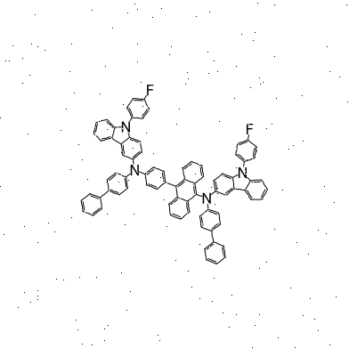 Fc1ccc(-n2c3ccccc3c3cc(N(c4ccc(-c5ccccc5)cc4)c4ccc(-c5c6ccccc6c(N(c6ccc(-c7ccccc7)cc6)c6ccc7c(c6)c6ccccc6n7-c6ccc(F)cc6)c6ccccc56)cc4)ccc32)cc1